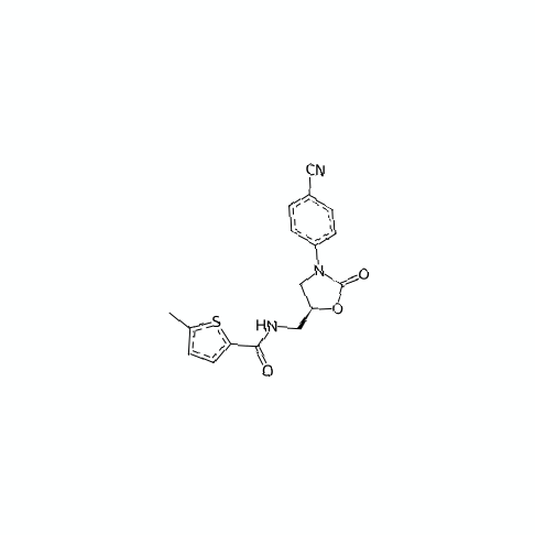 Cc1ccc(C(=O)NC[C@H]2CN(c3ccc(C#N)cc3)C(=O)O2)s1